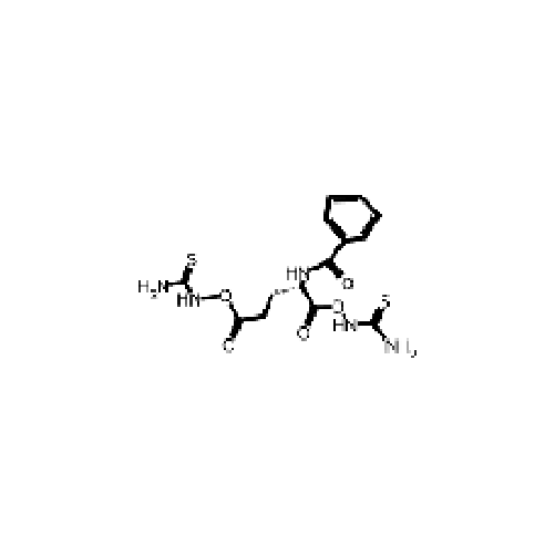 NC(=S)NOC(=O)CC[C@H](NC(=O)c1ccccc1)C(=O)ONC(N)=S